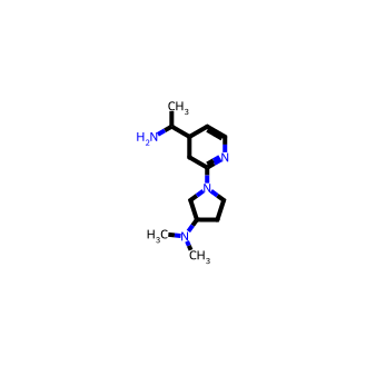 CC(N)C1C=CN=C(N2CCC(N(C)C)C2)C1